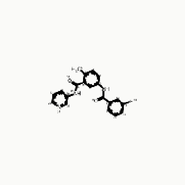 Cc1ccc(NC(=O)c2cccc(F)c2)cc1C(=O)Nc1cccnc1